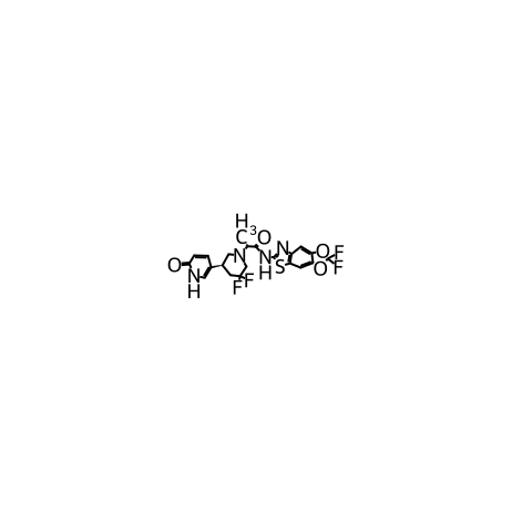 C[C@@H](C(=O)Nc1nc2cc3c(cc2s1)OC(F)(F)O3)N1C[C@H](c2ccc(=O)[nH]c2)CC(F)(F)C1